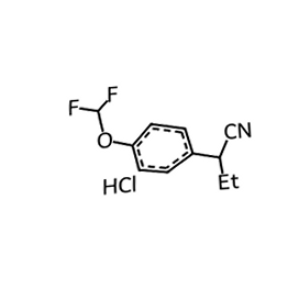 CCC(C#N)c1ccc(OC(F)F)cc1.Cl